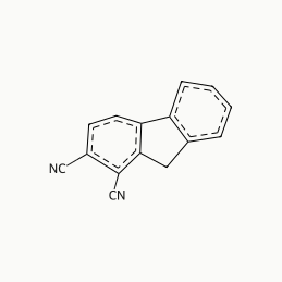 N#Cc1ccc2c(c1C#N)Cc1ccccc1-2